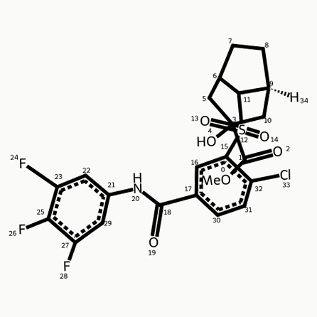 COC(=O)C1(O)CC2CC[C@@H](C1)C2S(=O)(=O)c1cc(C(=O)Nc2cc(F)c(F)c(F)c2)ccc1Cl